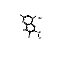 Cc1cc(C)c2cc(NC(C)C)c(=O)[nH]c2n1.Cl